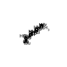 Cn1c(Br)cnc1C(=O)Nc1ccc(C(=O)NC2[C@H]3CN(C(=O)N[C@@H]4CN(C(=O)OC(C)(C)C)C[C@H]4O)C[C@@H]23)c(Cl)c1